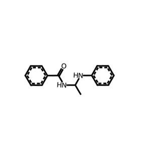 CC(NC(=O)c1ccccc1)Nc1ccccc1